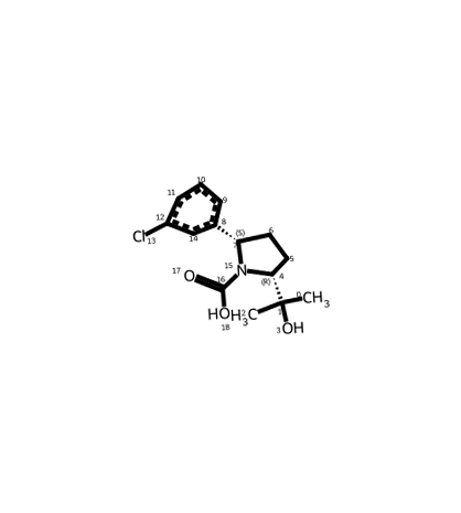 CC(C)(O)[C@H]1CC[C@@H](c2cccc(Cl)c2)N1C(=O)O